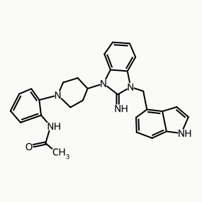 CC(=O)Nc1ccccc1N1CCC(n2c(=N)n(Cc3cccc4[nH]ccc34)c3ccccc32)CC1